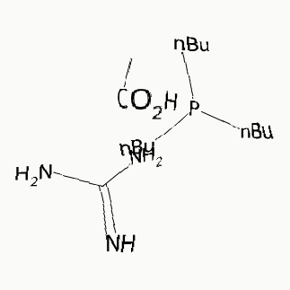 CC(=O)O.CCCCP(CCCC)CCCC.N=C(N)N